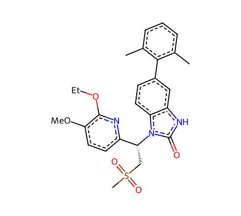 CCOc1nc([C@@H](CS(C)(=O)=O)n2c(=O)[nH]c3cc(-c4c(C)cccc4C)ccc32)ccc1OC